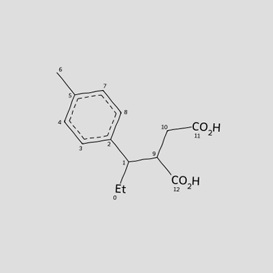 CCC(c1ccc(C)cc1)C(CC(=O)O)C(=O)O